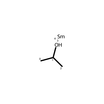 CC(C)O.[Sm]